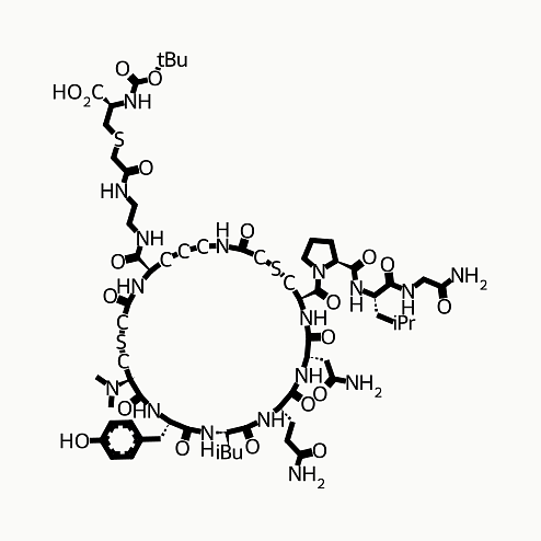 CC[C@H](C)[C@@H]1NC(=O)[C@H](Cc2ccc(O)cc2)NC(=O)[C@@H](N(C)C)CSCC(=O)N[C@@H](C(=O)NCCNC(=O)CSC[C@H](NC(=O)OC(C)(C)C)C(=O)O)CCCNC(=O)CSC[C@@H](C(=O)N2CCC[C@H]2C(=O)N[C@@H](CC(C)C)C(=O)NCC(N)=O)NC(=O)[C@H](CC(N)=O)NC(=O)[C@H](CCC(N)=O)NC1=O